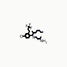 CC\C=C/C=C(C)/C(=N\C/C=C(\C)N)c1ccc(Cl)cc1CCC(F)(F)F